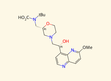 COc1ccc2nccc([C@@H](O)CN3CCO[C@@H](CN(C(=O)O)C(C)(C)C)C3)c2n1